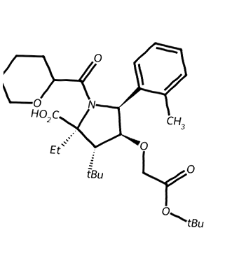 CC[C@@]1(C(=O)O)[C@@H](C(C)(C)C)[C@H](OCC(=O)OC(C)(C)C)[C@H](c2ccccc2C)N1C(=O)C1CCCCO1